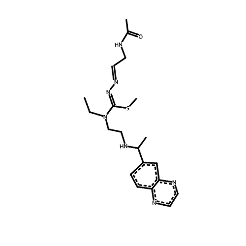 CCN(CCNC(C)c1ccc2nccnc2c1)/C(=N/N=C/CNC(C)=O)SC